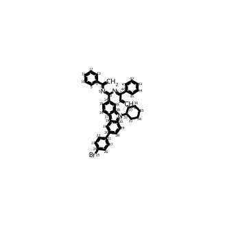 C=C/C(=N\C(=N/C(=C)c1ccccc1)c1ccc2c3cc(-c4ccc(Br)cc4)ccc3n(C3CCCCC3)c2c1)c1ccccc1